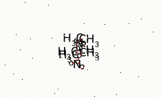 CC1(C)c2ccccc2N(c2ccc3c(c2)C(C)(C)c2ccc(-c4cc(-c5ccccc5)nc(-c5ccccc5)c4)cc2C3(C)C)c2ccccc21